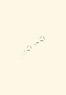 O=C(C=Cc1c(Br)cccc1Br)Nc1ccc(S(=O)(=O)N2CCCCC2)cc1